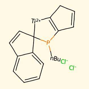 CCCCP1C2=[C](CC=C2)[Ti+2][C]12C=Cc1ccccc12.[Cl-].[Cl-]